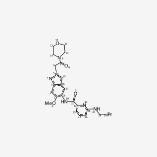 COc1cc2nn(CC(=O)N3CCOCC3)cc2cc1NC(=O)c1cccc(NCC(C)C)n1